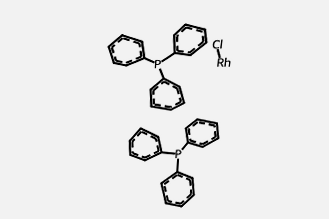 [Cl][Rh].c1ccc(P(c2ccccc2)c2ccccc2)cc1.c1ccc(P(c2ccccc2)c2ccccc2)cc1